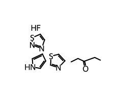 CCC(=O)CC.F.c1cc[nH]c1.c1cscn1.c1csnn1